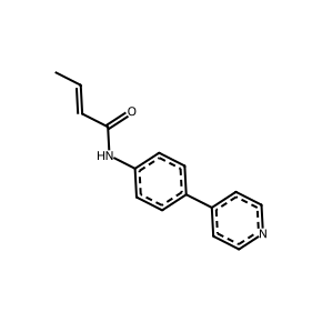 C/C=C/C(=O)Nc1ccc(-c2ccncc2)cc1